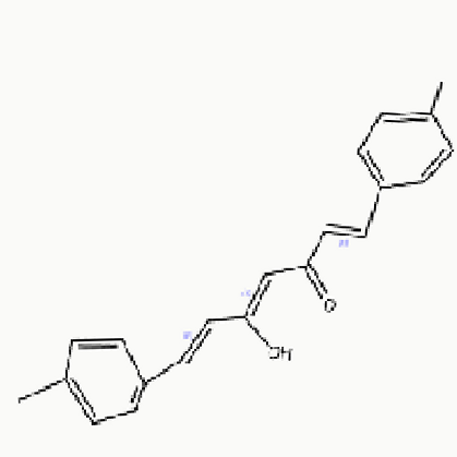 Cc1ccc(/C=C/C(=O)/C=C(O)/C=C/c2ccc(C)cc2)cc1